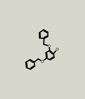 [O]c1ccc(OCc2ccccc2)cc1OCc1ccccc1